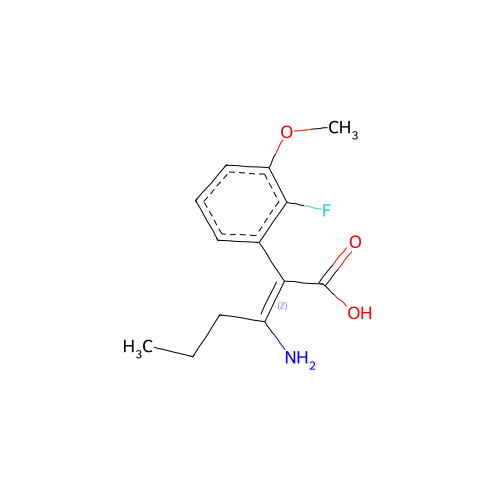 CCC/C(N)=C(/C(=O)O)c1cccc(OC)c1F